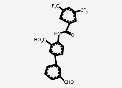 O=Cc1cccc(-c2ccc(NC(=O)c3cc(C(F)(F)F)cc(C(F)(F)F)c3)c(C(=O)O)c2)c1